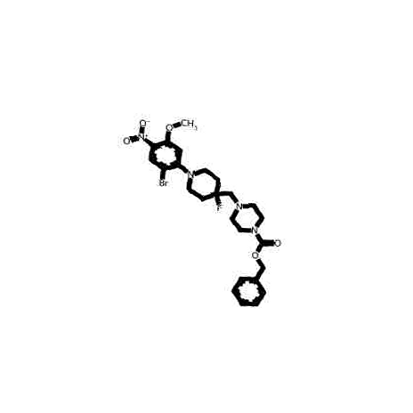 COc1cc(N2CCC(F)(CN3CCN(C(=O)OCc4ccccc4)CC3)CC2)c(Br)cc1[N+](=O)[O-]